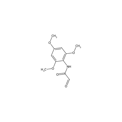 COc1cc(OC)c(NC(=O)C=O)c(OC)c1